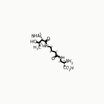 CC(=O)N[C@H](C(=O)NCCCC(=O)NC[C@H](N)C(=O)O)[C@@H](C)O